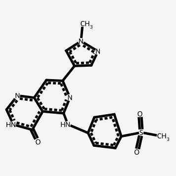 Cn1cc(-c2cc3nc[nH]c(=O)c3c(Nc3ccc(S(C)(=O)=O)cc3)n2)cn1